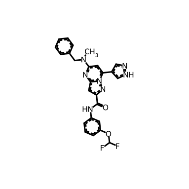 CN(Cc1ccccc1)c1cc(-c2cn[nH]c2)n2nc(C(=O)Nc3cccc(OC(F)F)c3)cc2n1